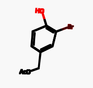 CC(=O)OCc1ccc(O)c(Br)c1